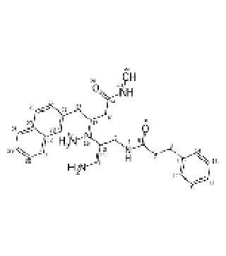 N/C=C(/CNC(=O)CCc1ccccc1)N(N)C(CC(=O)NO)Cc1ccc2ccccc2c1